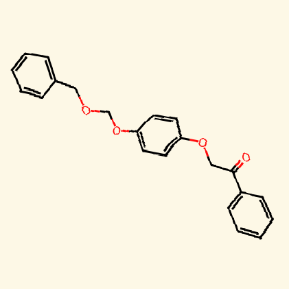 O=C(COc1ccc(OCOCc2ccccc2)cc1)c1ccccc1